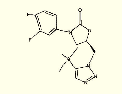 C[Si](C)(C)c1cnnn1C[C@H]1CN(c2ccc(I)c(F)c2)C(=O)O1